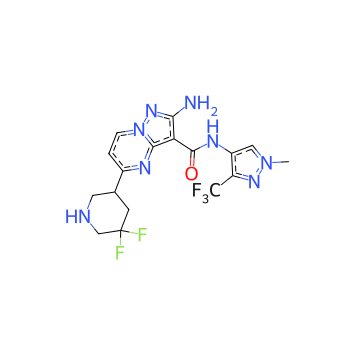 Cn1cc(NC(=O)c2c(N)nn3ccc(C4CNCC(F)(F)C4)nc23)c(C(F)(F)F)n1